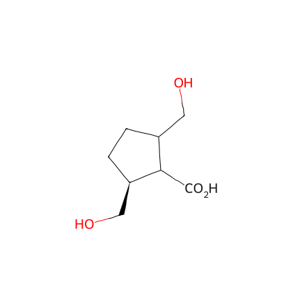 O=C(O)C1C(CO)CC[C@@H]1CO